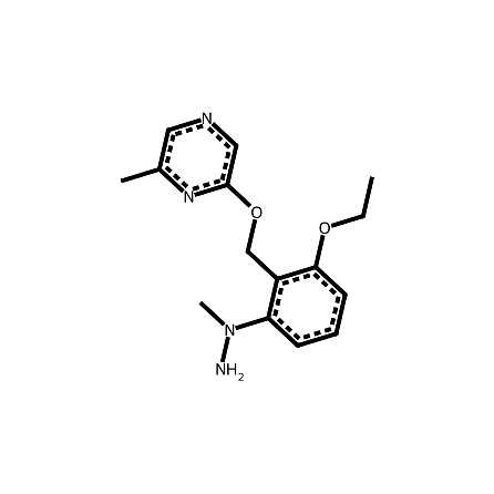 CCOc1cccc(N(C)N)c1COc1cncc(C)n1